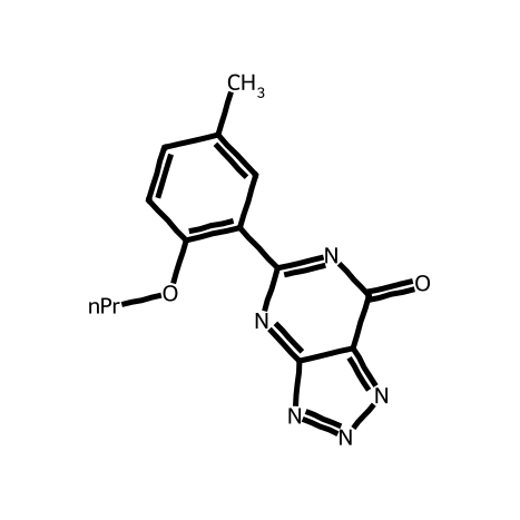 CCCOc1ccc(C)cc1C1=NC(=O)C2=NN=NC2=N1